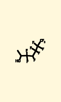 CC(O)C(F)(F)C(F)C(F)(F)C(F)(F)C(F)(F)F